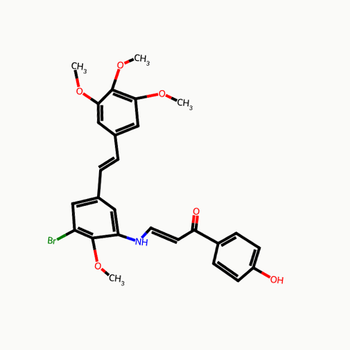 COc1cc(C=Cc2cc(Br)c(OC)c(NC=CC(=O)c3ccc(O)cc3)c2)cc(OC)c1OC